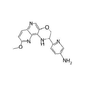 COc1ccc2ncc3c(c2n1)NC(c1ccc(N)cn1)CO3